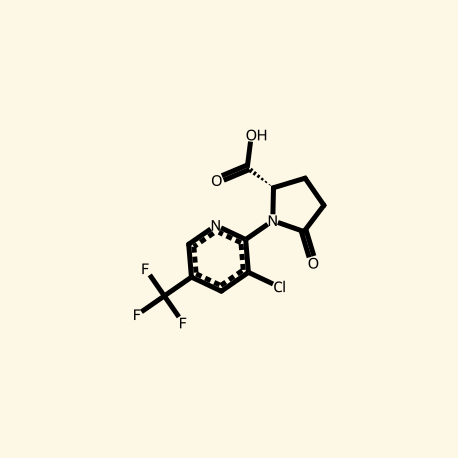 O=C(O)[C@@H]1CCC(=O)N1c1ncc(C(F)(F)F)cc1Cl